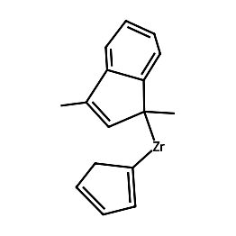 CC1=C[C](C)([Zr][C]2=CC=CC2)c2ccccc21